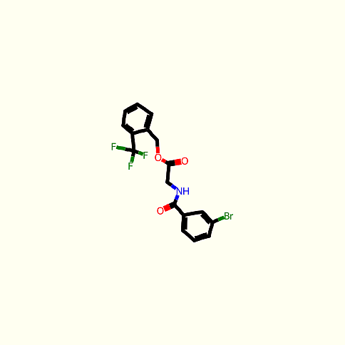 O=C(CNC(=O)c1cccc(Br)c1)OCc1ccccc1C(F)(F)F